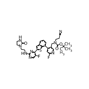 CC(C)(C)OC(=O)N(CCC#N)Cc1cnc(F)cc1-c1cccc2cc(-c3nc(NCCN4CCNC4=O)ncc3F)sc12